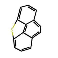 c1cc2ccc3cccc4sc(c1)c2c34